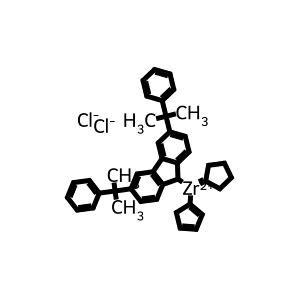 CC(C)(c1ccccc1)c1ccc2c(c1)-c1cc(C(C)(C)c3ccccc3)ccc1[CH]2[Zr+2]([C]1=CC=CC1)=[C]1CCCC1.[Cl-].[Cl-]